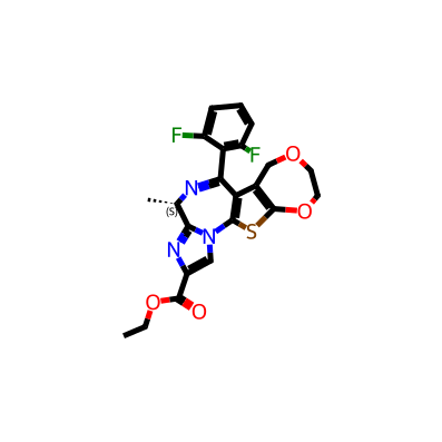 CCOC(=O)c1cn2c(n1)[C@H](C)N=C(c1c(F)cccc1F)c1c-2sc2c1COCCO2